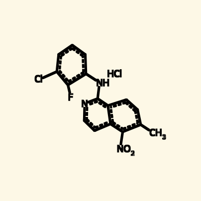 Cc1ccc2c(Nc3cccc(Cl)c3F)nccc2c1[N+](=O)[O-].Cl